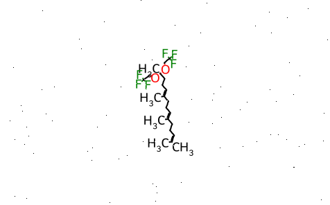 CC(C)=CCC/C(C)=C/CC/C(C)=C/CCC(C)(OCC(F)(F)F)OCC(F)(F)F